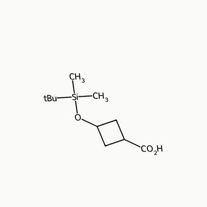 CC(C)(C)[Si](C)(C)OC1CC(C(=O)O)C1